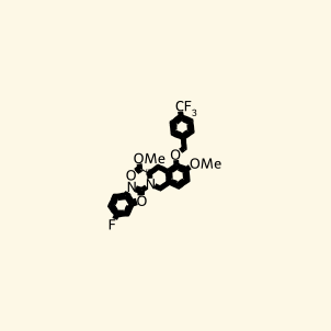 COC(=O)[C@@H]1Cc2c(ccc(OC)c2OCc2ccc(C(F)(F)F)cc2)CN1c1nc2ccc(F)cc2o1